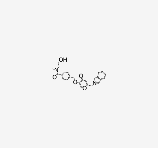 CN(CCO)C(=O)c1ccc(COc2coc(Cn3cc4ccccc4c3)cc2=O)cc1